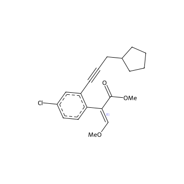 CO/C=C(/C(=O)OC)c1ccc(Cl)cc1C#CCC1CCCC1